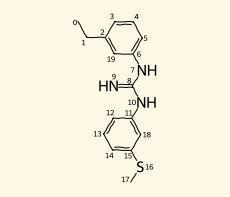 CCc1cccc(NC(=N)Nc2cccc(SC)c2)c1